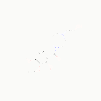 COc1ccc(C(=O)N2CCCN(CCO)CC2)c(OC)c1OC